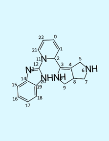 C1=CC(C2=C3CNCC3CN2)N(c2nc3ccccc3[nH]2)C=C1